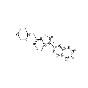 c1cc(CN2CCOCC2)c2ccn(-c3ccc4ncncc4c3)c2c1